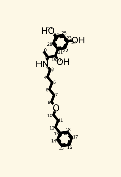 CC(NCCCCCCOCCCc1ccccc1)C(O)c1cc(O)cc(O)c1